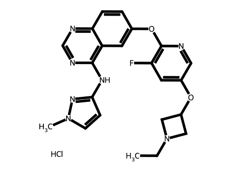 CCN1CC(Oc2cnc(Oc3ccc4ncnc(Nc5ccn(C)n5)c4c3)c(F)c2)C1.Cl